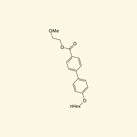 CCCCCCOc1ccc(-c2ccc(C(=O)OCCOC)cc2)cc1